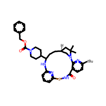 CC(C)(C)c1ccc2c(n1)N1C[C@@H](CCC(C3CCN(C(=O)OCc4ccccc4)CC3)Nc3cccc(n3)SNC2=O)CC1(C)C